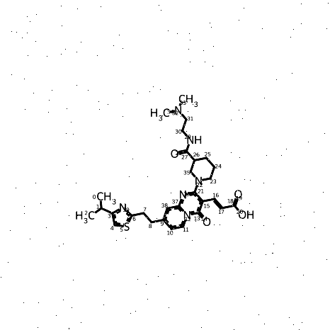 CC(C)c1csc(CCc2ccn3c(=O)c(C=CC(=O)O)c(N4CCCC(C(=O)NCCN(C)C)C4)nc3c2)n1